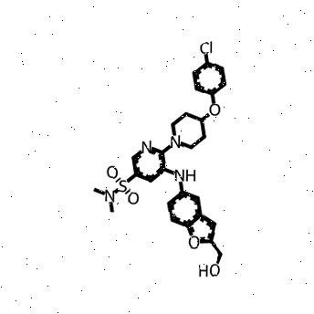 CN(C)S(=O)(=O)c1cnc(N2CCC(Oc3ccc(Cl)cc3)CC2)c(Nc2ccc3oc(CO)cc3c2)c1